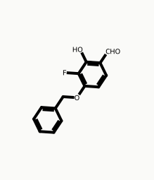 O=Cc1ccc(OCc2ccccc2)c(F)c1O